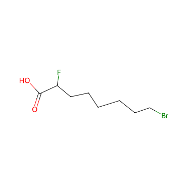 O=C(O)C(F)CCCCCCBr